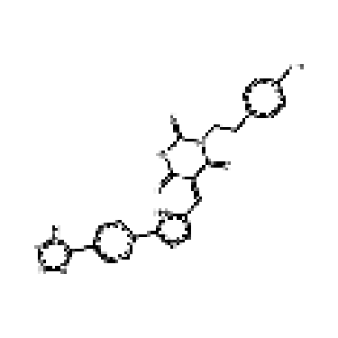 O=C1NC(=S)N(CCc2ccc(O)cc2)C(=O)C1=Cc1ccc(-c2ccc(-c3nnn[nH]3)cc2)[nH]1